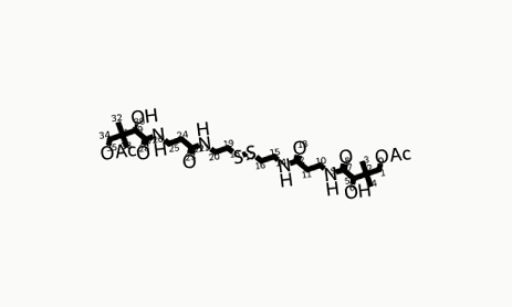 CC(=O)OCC(C)(C)C(O)C(=O)NCCC(=O)NCCSSCCNC(=O)CCNC(=O)[C@H](O)C(C)(C)COC(C)=O